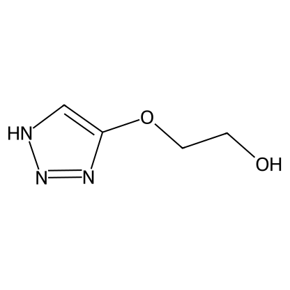 OCCOc1c[nH]nn1